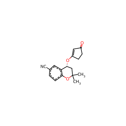 CC1(C)C[C@@H](OC2=CC(=O)CC2)c2cc(C#N)ccc2O1